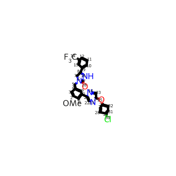 COc1ccc(CN2CC(c3cccc(C(F)(F)F)c3)NC2=O)cc1-c1cnc(Oc2ccc(Cl)cc2)cn1